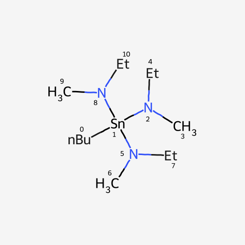 CCC[CH2][Sn]([N](C)CC)([N](C)CC)[N](C)CC